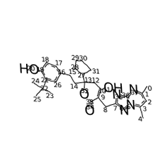 Cc1cc(C)n2nc(CC3=C(O)CC(CCc4ccc(O)c(C(C)(C)C)c4)(C4CCCC4)OC3=O)nc2n1